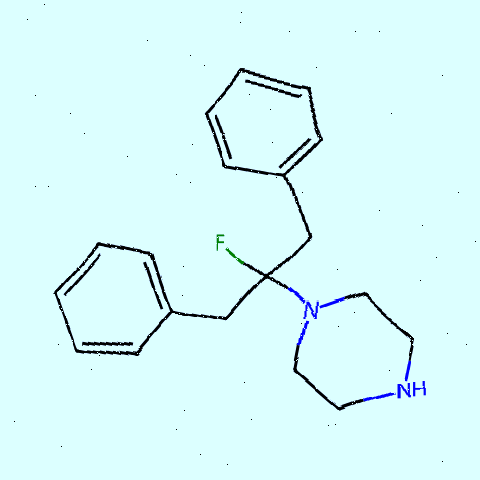 FC(Cc1ccccc1)(Cc1ccccc1)N1CCNCC1